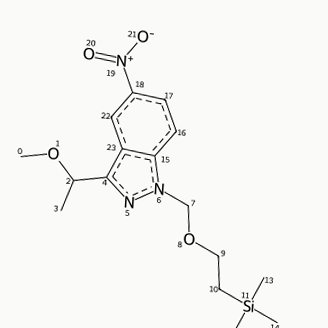 COC(C)c1nn(COCC[Si](C)(C)C)c2ccc([N+](=O)[O-])cc12